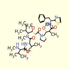 CC[C@H](C)[C@@H]([C@@H](CC(=O)N1CCC[C@H]1[C@H](OC)C(C)C(=O)N[C@@H](Cc1ccccc1)c1nccs1)OC)N(C)C(=O)[C@@H](NC(=O)C(NC)C(C)C)C(C)C